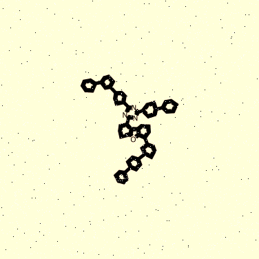 c1ccc(-c2ccc(-c3cccc(-c4cccc5c4oc4cccc(-c6nc(-c7ccc(-c8ccccc8)cc7)nc(-c7ccc(-c8cccc(-c9ccccc9)c8)cc7)n6)c45)c3)cc2)cc1